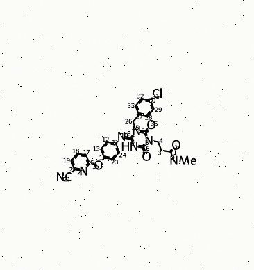 CNC(=O)CCn1c(=O)[nH]/c(=N\c2ccc(Oc3cccc(C#N)n3)cc2)n(Cc2ccc(Cl)cc2)c1=O